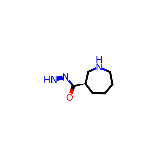 N=NC(=O)[C@@H]1CCCCNC1